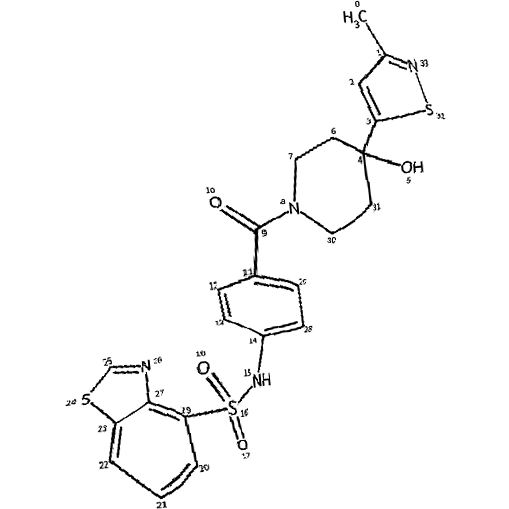 Cc1cc(C2(O)CCN(C(=O)c3ccc(NS(=O)(=O)c4cccc5scnc45)cc3)CC2)sn1